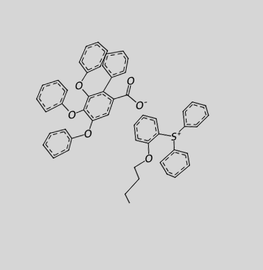 CCCCOc1ccccc1[S+](c1ccccc1)c1ccccc1.O=C([O-])c1cc(Oc2ccccc2)c(Oc2ccccc2)c(Oc2ccccc2)c1-c1ccccc1